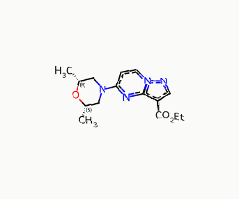 CCOC(=O)c1cnn2ccc(N3C[C@@H](C)O[C@@H](C)C3)nc12